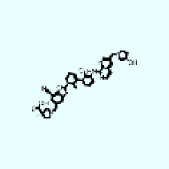 Cc1c(-c2nc3cc(CN4CC[C@@](C)(C(=O)O)C4)cc(C#N)c3o2)cccc1-c1cccc(Nc2nccc3cc(CN4CC[C@@H](O)C4)cnc23)c1Cl